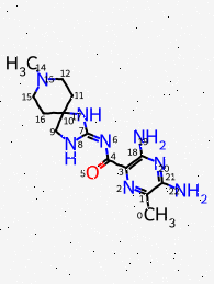 Cc1nc(C(=O)/N=C2\NCC3(CCN(C)CC3)N2)c(N)nc1N